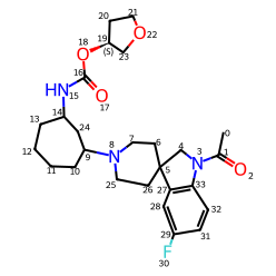 CC(=O)N1CC2(CCN(C3CCCCC(NC(=O)O[C@H]4CCOC4)C3)CC2)c2cc(F)ccc21